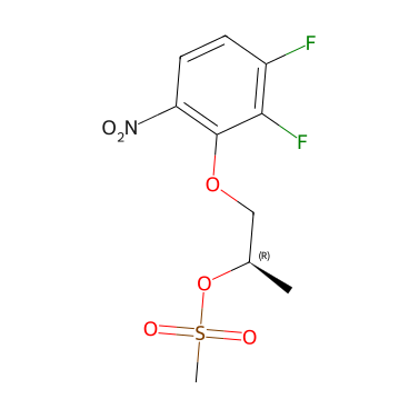 C[C@H](COc1c([N+](=O)[O-])ccc(F)c1F)OS(C)(=O)=O